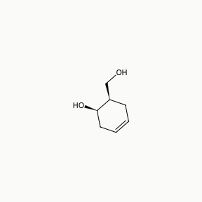 OC[C@H]1CC=CC[C@H]1O